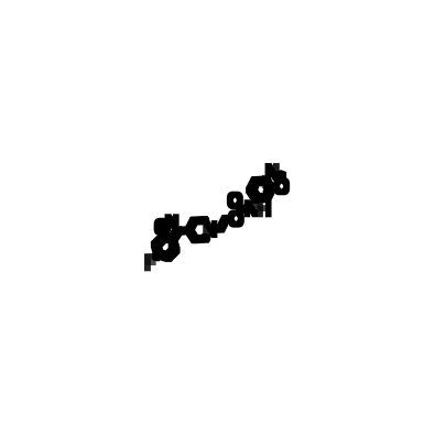 O=C(Nc1ccc2ncoc2c1)OCCN1CCC(c2noc3cc(F)ccc23)CC1